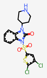 O=c1n(C2CCNCC2)c2ccccc2n1S(=O)(=O)c1cc(Cl)c(Cl)s1